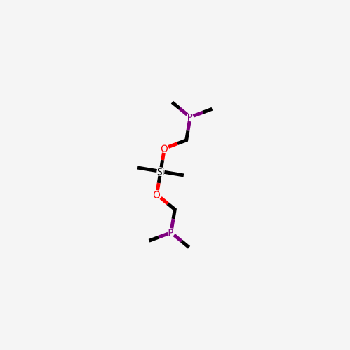 CP(C)CO[Si](C)(C)OCP(C)C